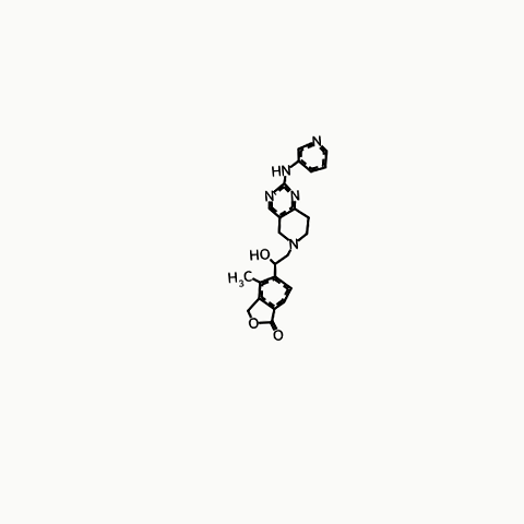 Cc1c(C(O)CN2CCc3nc(Nc4cccnc4)ncc3C2)ccc2c1COC2=O